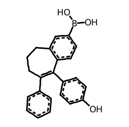 OB(O)c1ccc2c(c1)CCCC(c1ccccc1)=C2c1ccc(O)cc1